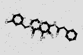 O=C(Cc1ccccc1)Nc1cn2ccn(Cc3cccc(Cl)c3)c(=O)c2c(O)c1=O